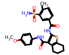 COc1ccc(NC(=O)c2c(NC(=O)c3ccc(C)c(S(N)(=O)=O)c3)sc3c2CCCC3)cc1